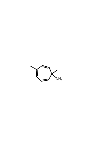 CC1=CC=CC(C)(N)C=C1